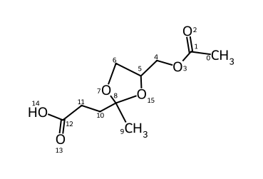 CC(=O)OCC1COC(C)(CCC(=O)O)O1